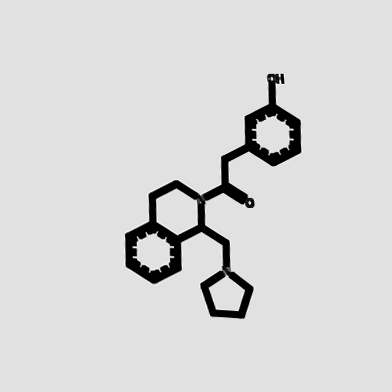 O=C(Cc1cccc(O)c1)N1CCc2ccccc2C1CN1CCCC1